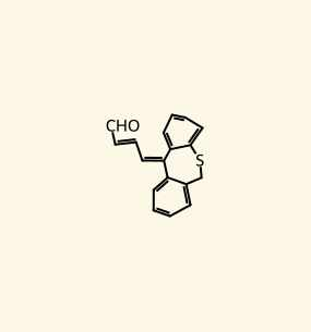 O=CC=CC=C1c2ccccc2CSc2ccccc21